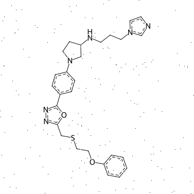 c1ccc(OCCSCc2nnc(-c3ccc(N4CCC(NCCCn5ccnc5)C4)cc3)o2)cc1